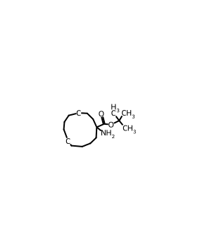 CC(C)(C)OC(=O)C1(N)CCCCCCCCCCC1